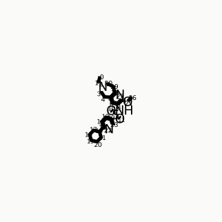 CCN1CCc2cc(NS(=O)(=O)c3ccc(C4CCCCC4)nc3)c(OC)nc2CC1